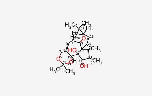 CC1=CC23C(=O)[C@@H](C=C4COC(C)(C)O[C@H]4[C@]2(O)[C@H]1O)[C@H]1[C@@H](CC3C)C1(C)C